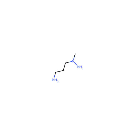 CN(N)CCCN